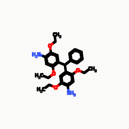 CCOc1cc(C(c2ccccc2)c2cc(OCC)c(N)cc2OCC)c(OCC)cc1N